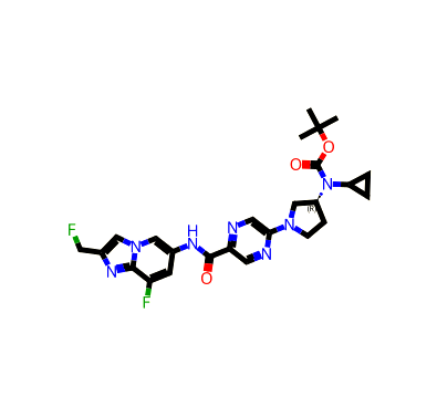 CC(C)(C)OC(=O)N(C1CC1)[C@@H]1CCN(c2cnc(C(=O)Nc3cc(F)c4nc(CF)cn4c3)cn2)C1